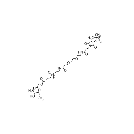 BC(C)(C)SC1CC(=O)N(CCC(=O)NCCOCCOCCC(=O)NCCNC(=O)CCCC(=O)OCC(OC)OC(CC)CO)C1=O